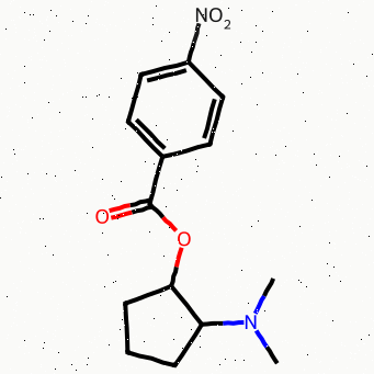 CN(C)C1CCCC1OC(=O)c1ccc([N+](=O)[O-])cc1